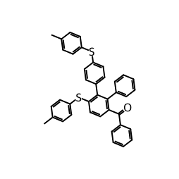 Cc1ccc(Sc2ccc(-c3c(Sc4ccc(C)cc4)ccc(C(=O)c4ccccc4)c3-c3ccccc3)cc2)cc1